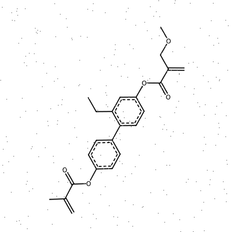 C=C(C)C(=O)Oc1ccc(-c2ccc(OC(=O)C(=C)COC)cc2CC)cc1